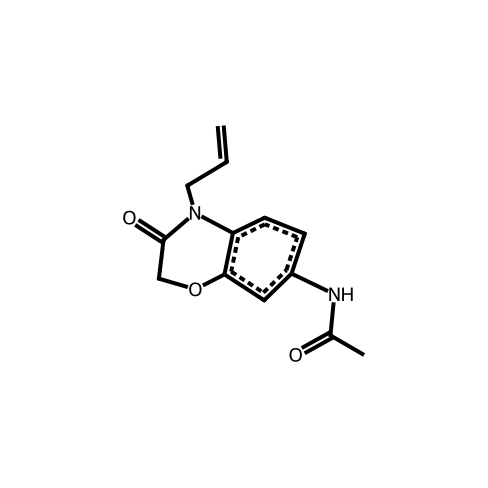 C=CCN1C(=O)COc2cc(NC(C)=O)ccc21